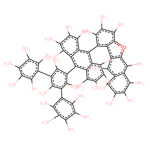 Bc1c(B)c(B)c(-c2c(B)c(-c3c(B)c(B)c(B)c(B)c3B)c(B)c(-c3c4c(B)c(B)c(B)c(B)c4c(-c4c(B)c(B)c(B)c5oc6c(B)c7c(B)c(B)c(B)c(B)c7c(B)c6c45)c4c(B)c(B)c(B)c(B)c34)c2B)c(B)c1B